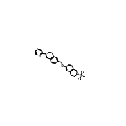 CS(=O)(=O)N1CCc2cc(OCc3ccc4c(c3)CCN(c3cnccn3)C4)ccc2C1